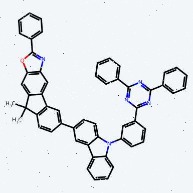 CC1(C)c2ccc(-c3ccc4c(c3)c3ccccc3n4-c3cccc(-c4nc(-c5ccccc5)nc(-c5ccccc5)n4)c3)cc2-c2cc3nc(-c4ccccc4)oc3cc21